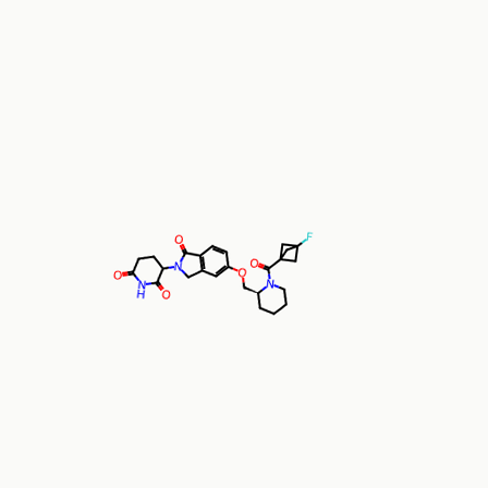 O=C1CCC(N2Cc3cc(OC[C@@H]4CCCCN4C(=O)C45CC(F)(C4)C5)ccc3C2=O)C(=O)N1